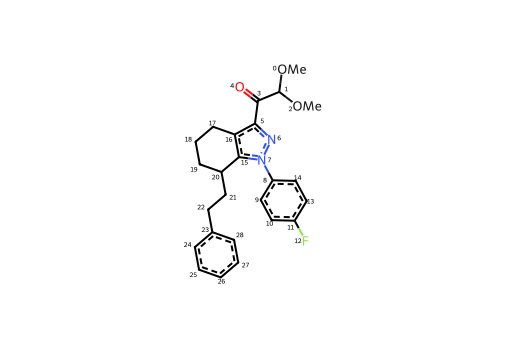 COC(OC)C(=O)c1nn(-c2ccc(F)cc2)c2c1CCCC2CCc1ccccc1